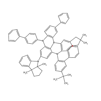 CC1(C)Cc2cc3c(cc2C1)N(c1ccc(C(C)(C)C)cc1-c1ccccc1)c1cc(N2c4ccccc4C4(C)CCCC24C)cc2c1B3c1cc(-c3ccccc3)ccc1N2c1ccc(-c2ccccc2)cc1